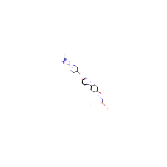 CC(C)c1noc(N2CCC(COc3ccc(C4=CCC(C(=O)NCC(O)CO)CC4)nc3)CC2)n1